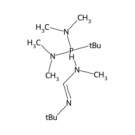 CN(C)[PH](N(C)C)(N(C)C=NC(C)(C)C)C(C)(C)C